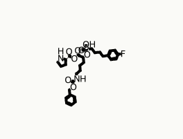 O=C(NCCCCC(OP(=O)(O)CCCCc1ccc(F)cc1)C(=O)OC(=O)[C@@H]1CCCN1)OCc1ccccc1